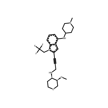 CO[C@H]1COCC[C@H]1NCC#Cc1cc2c(NC3CCN(C)CC3)cccc2n1CC(F)(F)F